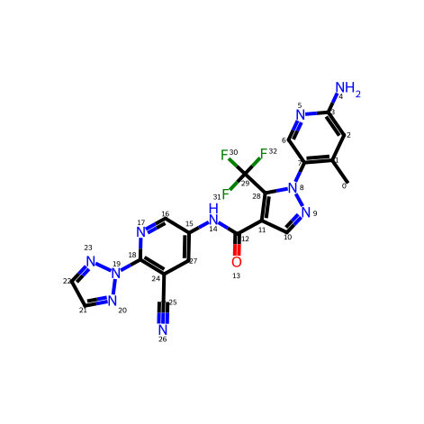 Cc1cc(N)ncc1-n1ncc(C(=O)Nc2cnc(-n3nccn3)c(C#N)c2)c1C(F)(F)F